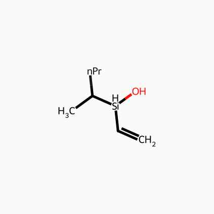 C=C[SiH](O)C(C)CCC